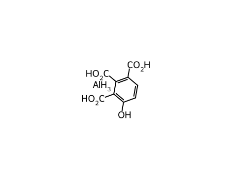 O=C(O)c1ccc(O)c(C(=O)O)c1C(=O)O.[AlH3]